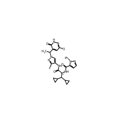 CC(c1cc(Cl)n[nH]c1=O)n1cc(NC(=O)[C@@H](NC(=O)c2ccnn2C(C)C)C(C2CC2)C2CC2)c(F)n1